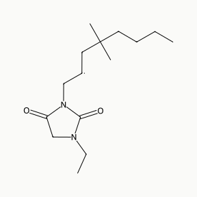 CCCCC(C)(C)C[CH]CN1C(=O)CN(CC)C1=O